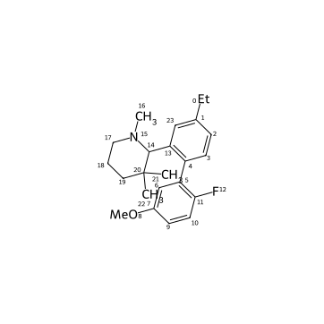 CCc1ccc(-c2cc(OC)ccc2F)c(C2N(C)CCCC2(C)C)c1